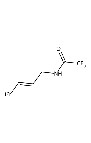 CC(C)C=CCNC(=O)C(F)(F)F